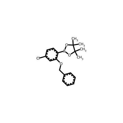 CC1(C)OB(c2ccc(Cl)cc2OCc2ccccc2)OC1(C)C